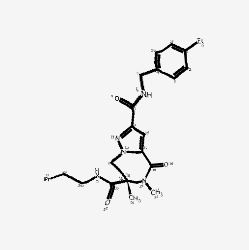 CCc1ccc(CNC(=O)c2cc3n(n2)C[C@@](C)(C(=O)NCCC(C)C)N(C)C3=O)cc1